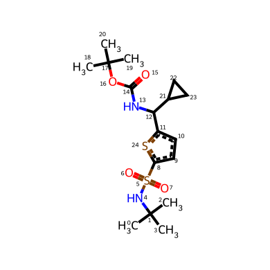 CC(C)(C)NS(=O)(=O)c1ccc(C(NC(=O)OC(C)(C)C)C2CC2)s1